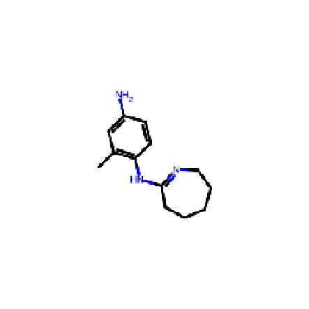 Cc1cc(N)ccc1NC1=NCCCCC1